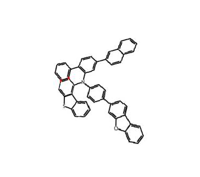 c1ccc(-c2ccc(-c3ccc4ccccc4c3)cc2N(c2ccc(-c3ccc4c(c3)oc3ccccc34)cc2)c2cccc3sc4ccccc4c23)cc1